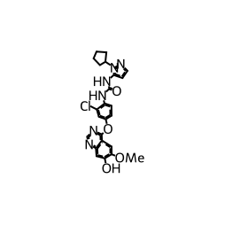 COc1cc2c(Oc3ccc(NC(=O)Nc4ccnn4C4CCCC4)c(Cl)c3)ncnc2cc1O